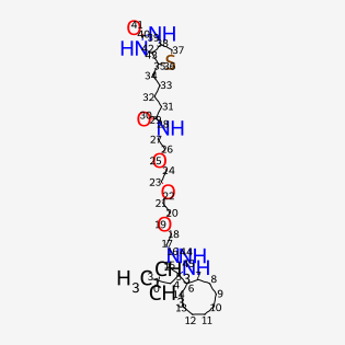 CC(C)(C)CC1(C2CCCCCCCC2)CN(CCOCCOCCOCCNC(=O)CCCC[C@@H]2SCC3NC(=O)NC32)NN1